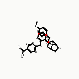 COc1ccc(CCN2C3CCC2CC(=C2CC=CC=C2Cc2ccc(C(=O)Cl)cc2)C3)cc1